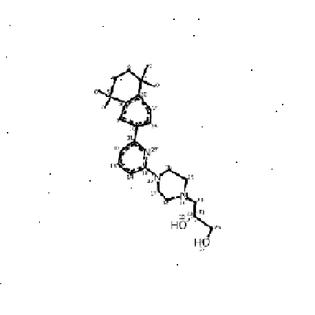 CC1(C)CCC(C)(C)c2cc(-c3cccc(N4CCN(C[C@@H](O)CO)CC4)n3)ccc21